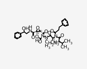 CC(C)[C@H](N)C(=O)N(C(=O)CCc1ccccc1)[C@@H](C)C(=O)N(C)N(C(=O)O)C(=O)[C@H]1O[C@@H]1C(=O)NCC(O)c1ccccc1